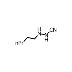 CCCCCNNC#N